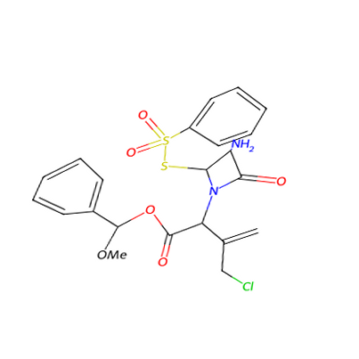 C=C(CCl)C(C(=O)OC(OC)c1ccccc1)N1C(=O)C(N)C1SS(=O)(=O)c1ccccc1